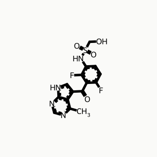 Cc1ncnc2[nH]cc(C(=O)c3c(F)ccc(NS(=O)(=O)CO)c3F)c12